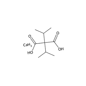 CC(C)C(C(=O)O)(C(=O)O)C(C)C.[CaH2]